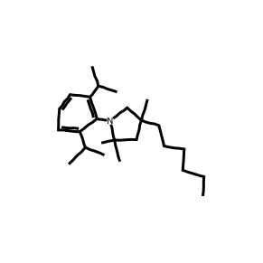 CCCCCCC1(C)CN(c2c(C(C)C)cccc2C(C)C)C(C)(C)C1